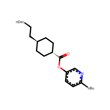 CCCCCCCCCCCC[C@H]1CC[C@H](C(=O)Oc2ccc(CCCC)nc2)CC1